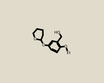 CCOc1ccc(OC2CCCCO2)cc1CO